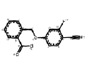 N#Cc1ccc(OCc2ccccc2C(=O)Cl)cc1F